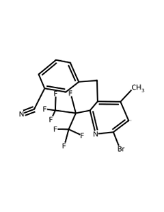 Cc1[c]c(Br)nc(C(F)(C(F)(F)F)C(F)(F)F)c1Cc1cccc(C#N)c1